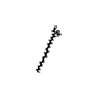 CCCCCCCCCCCCCCCCCCCCP(=O)(CC)CC